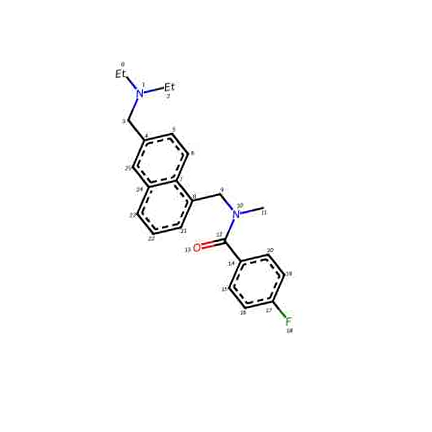 CCN(CC)Cc1ccc2c(CN(C)C(=O)c3ccc(F)cc3)cccc2c1